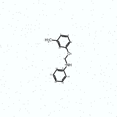 Cc1cccc(OCNc2ccccc2)c1